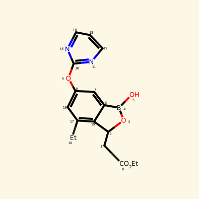 CCOC(=O)CC1OB(O)c2cc(Oc3ncccn3)cc(CC)c21